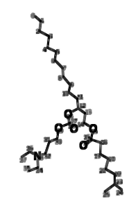 CCCCCCCCCCCCC(CCOC(=O)CCCCCC(C)C)OC(=O)OCCCN(CC)CC